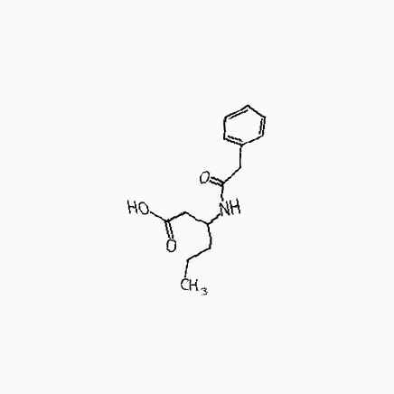 CCCC(CC(=O)O)NC(=O)Cc1ccccc1